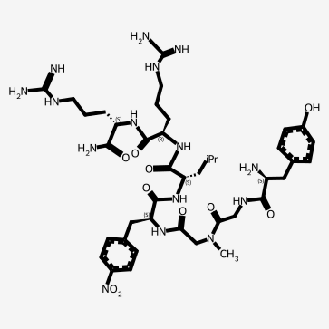 CC(C)C[C@H](NC(=O)[C@H](Cc1ccc([N+](=O)[O-])cc1)NC(=O)CN(C)C(=O)CNC(=O)[C@@H](N)Cc1ccc(O)cc1)C(=O)N[C@H](CCCNC(=N)N)C(=O)N[C@@H](CCCNC(=N)N)C(N)=O